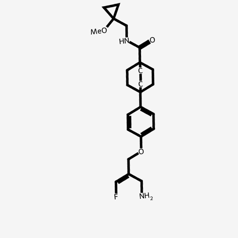 COC1(CNC(=O)C23CCC(c4ccc(OC/C(=C/F)CN)cc4)(CC2)CC3)CC1